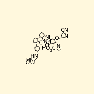 N#Cc1cncc(COc2cc(CNc3cccc(-c4cccc(-c5ccc(CNCC6CCC(=O)N6)cc5)c4Cl)c3C=N)c(Cl)cc2CN2CCCC2C(=O)O)c1